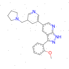 COc1ccccc1-c1n[nH]c2ncc(C3=CN=CC(CN4CCCC4)C3)cc12